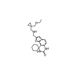 CCOCC1(CNCc2cc3ccc4c(c3o2)C2(CCCCC2)NC(=O)N4)CC1